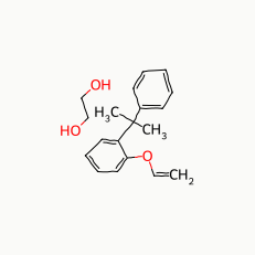 C=COc1ccccc1C(C)(C)c1ccccc1.OCCO